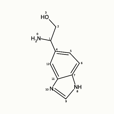 NC(CO)c1ccc2[nH]cnc2c1